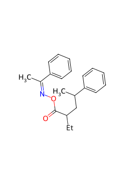 CCC(CC(C)c1ccccc1)C(=O)ON=C(C)c1ccccc1